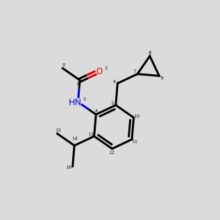 CC(=O)Nc1c(CC2CC2)cccc1C(C)C